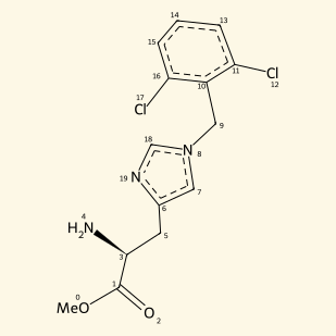 COC(=O)[C@@H](N)Cc1cn(Cc2c(Cl)cccc2Cl)cn1